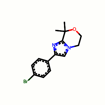 CC1(C)OCCn2cc(-c3ccc(Br)cc3)nc21